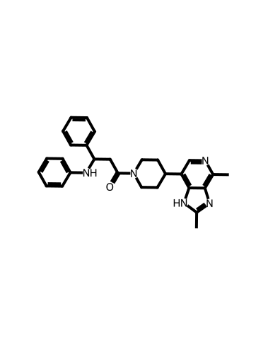 Cc1nc2c(C)ncc(C3CCN(C(=O)CC(Nc4ccccc4)c4ccccc4)CC3)c2[nH]1